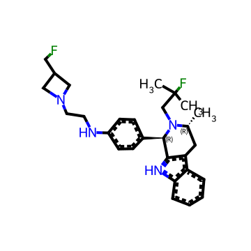 C[C@@H]1Cc2c([nH]c3ccccc23)[C@@H](c2ccc(NCCN3CC(CF)C3)cc2)N1CC(C)(C)F